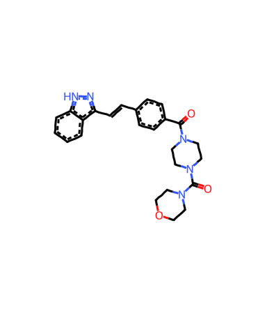 O=C(c1ccc(/C=C/c2n[nH]c3ccccc23)cc1)N1CCN(C(=O)N2CCOCC2)CC1